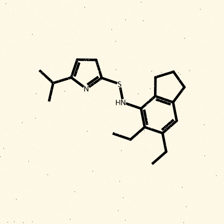 CCc1cc2c(c(NSC3=NC(C(C)C)=CC3)c1CC)CCC2